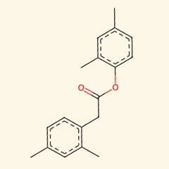 Cc1ccc(CC(=O)Oc2ccc(C)cc2C)c(C)c1